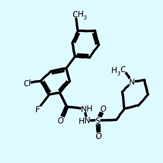 Cc1cccc(-c2cc(Cl)c(F)c(C(=O)NNS(=O)(=O)CC3CCCN(C)C3)c2)c1